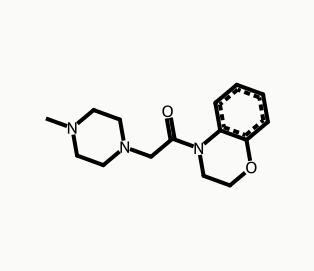 CN1CCN(CC(=O)N2CCOc3ccccc32)CC1